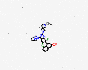 CN1CCC2(C1)CN(c1nc(N3CC4CCC(C3)N4)c3cc(Cl)c(-c4cc(O)cc5ccccc45)c(F)c3n1)C2